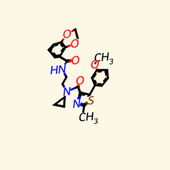 COc1cccc(-c2sc(C)nc2C(=O)N(CCNC(=O)c2cccc3c2OCCO3)C2CC2)c1